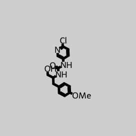 COc1ccc(CC(CO)NC(=O)Nc2ccc(Cl)nc2)cc1